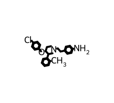 Cc1ccccc1C1CN(CCc2ccc(N)cc2)CCC1Oc1ccc(Cl)cc1